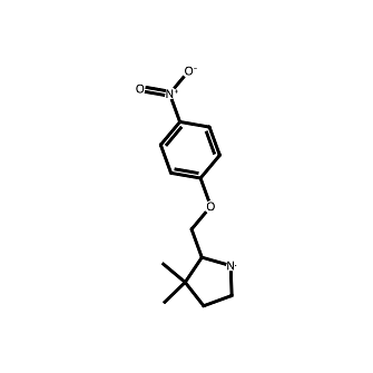 CC1(C)CC[N]C1COc1ccc([N+](=O)[O-])cc1